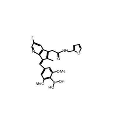 COc1cc(C=C2C(C)=C(CC(=O)NCc3ccco3)c3cc(F)cnc32)cc(OC)c1B(O)O